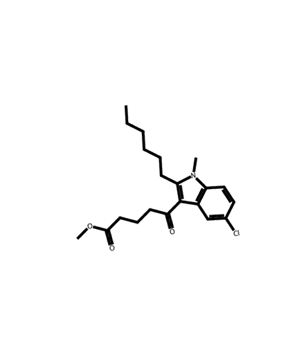 CCCCCCc1c(C(=O)CCCC(=O)OC)c2cc(Cl)ccc2n1C